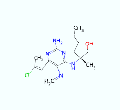 C=Nc1c(/C=C(\C)Cl)nc(N)nc1N[C@@](C)(CO)CCCC